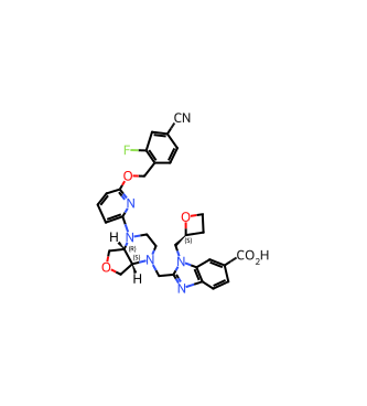 N#Cc1ccc(COc2cccc(N3CCN(Cc4nc5ccc(C(=O)O)cc5n4C[C@@H]4CCO4)[C@@H]4COC[C@@H]43)n2)c(F)c1